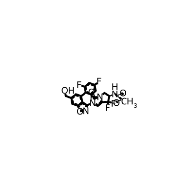 CS(=O)(=O)N[C@@H]1Cn2c(cn(-c3noc4cc(CO)cc(-c5c(F)cc(F)cc5F)c34)c2=O)C1(F)F